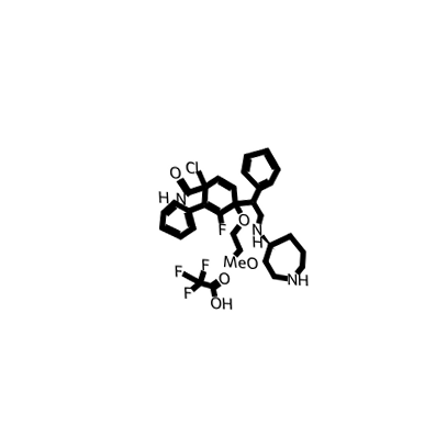 COCCOC1(C(CN[C@H]2CCCNCC2)c2ccccc2)C=CC(Cl)(C(N)=O)C(c2ccccc2)=C1F.O=C(O)C(F)(F)F